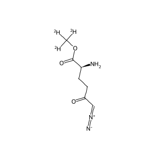 [2H]C([2H])([2H])OC(=O)[C@@H](N)CCC(=O)C=[N+]=[N-]